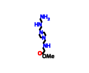 COC(=O)CCNCCN1CCN(CCNCCN)CC1